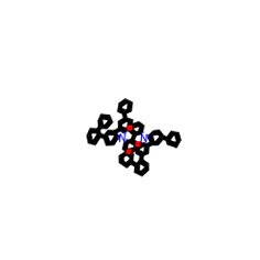 c1ccc(-c2ccc3c(c2)c2cc(-c4ccccc4-c4ccccc4)ccc2n3-c2ccccc2-c2ccccc2-n2c3ccc(-c4ccccc4)cc3c3cc(-c4ccccc4-c4ccccc4)ccc32)cc1